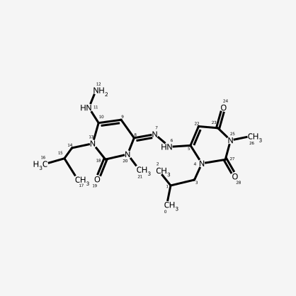 CC(C)Cn1c(NN=c2cc(NN)n(CC(C)C)c(=O)n2C)cc(=O)n(C)c1=O